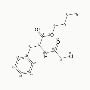 CCCCOC(=O)C(Cc1ccccc1)NC(=O)CCl